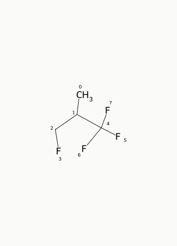 CC(CF)C(F)(F)F